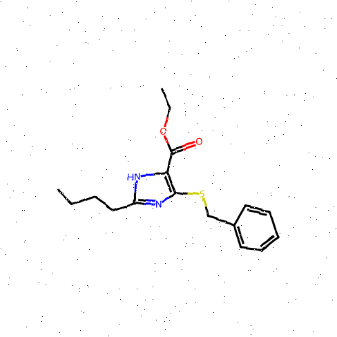 CCCCc1nc(SCc2ccccc2)c(C(=O)OCC)[nH]1